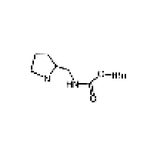 CC(C)(C)OC(=O)NCC1CCC[N]1